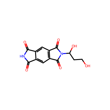 O=c1[nH]c(=O)c2cc3c(=O)n(C(O)CCO)c(=O)c3cc12